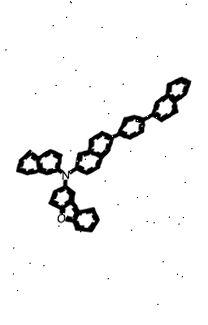 c1ccc2cc(-c3ccc(-c4ccc5cc(N(c6ccc7ccccc7c6)c6ccc7oc8ccccc8c7c6)ccc5c4)cc3)ccc2c1